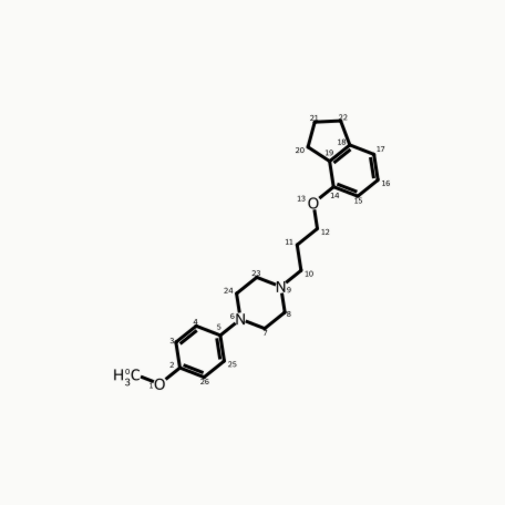 COc1ccc(N2CCN(CCCOc3cccc4c3CCC4)CC2)cc1